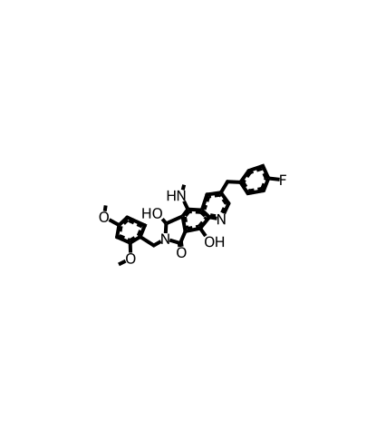 CNc1c2c(c(O)c3ncc(Cc4ccc(F)cc4)cc13)C(=O)N(Cc1ccc(OC)cc1OC)C2O